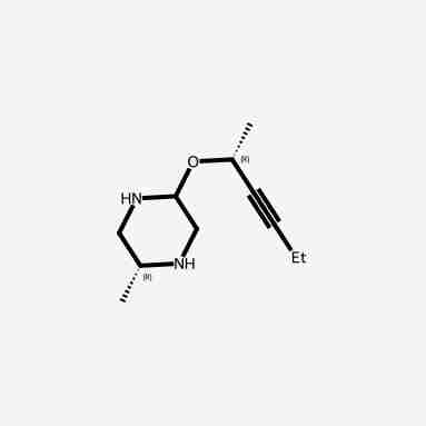 CCC#C[C@@H](C)OC1CN[C@H](C)CN1